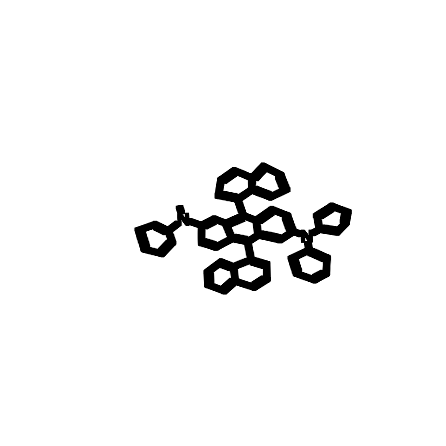 CN(c1ccccc1)c1ccc2c(-c3cccc4ccccc34)c3cc(N(c4ccccc4)c4ccccc4)ccc3c(-c3cccc4ccccc34)c2c1